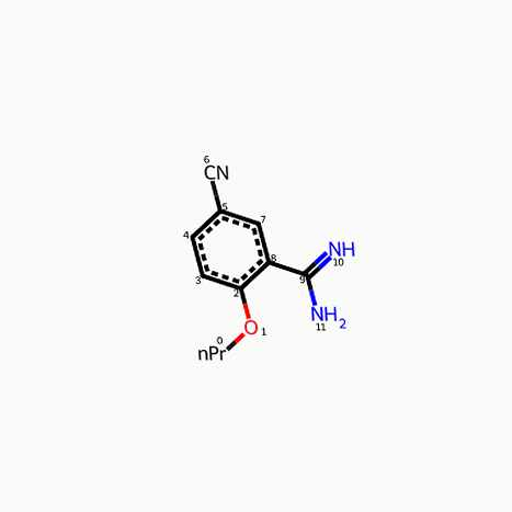 CCCOc1ccc(C#N)cc1C(=N)N